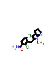 Cn1c(Cc2c(Cl)ccc(C(N)=O)c2Cl)cc2cccnc21